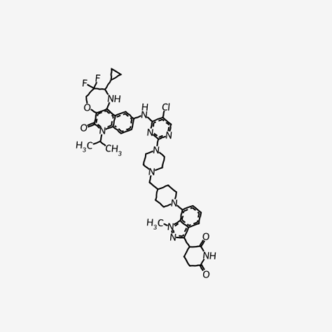 CC(C)n1c(=O)c2c(c3cc(Nc4nc(N5CCN(CC6CCN(c7cccc8c(C9CCC(=O)NC9=O)nn(C)c78)CC6)CC5)ncc4Cl)ccc31)NC(C1CC1)C(F)(F)CO2